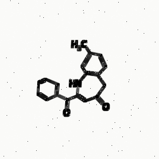 Cc1ccc2c(c1)NC(C(=O)c1ccccc1)=CC(=O)C2